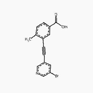 Cc1ccc(C(=O)O)cc1C#Cc1cncc(Br)c1